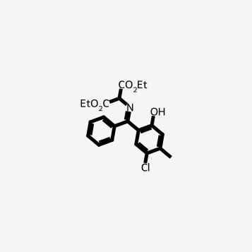 CCOC(=O)C(N=C(c1ccccc1)c1cc(Cl)c(C)cc1O)C(=O)OCC